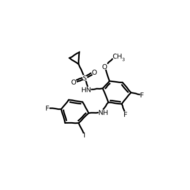 COc1cc(F)c(F)c(Nc2ccc(F)cc2I)c1NS(=O)(=O)C1CC1